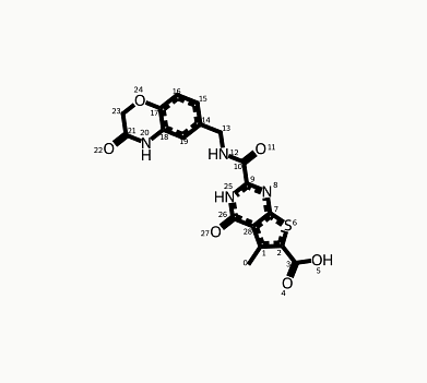 Cc1c(C(=O)O)sc2nc(C(=O)NCc3ccc4c(c3)NC(=O)CO4)[nH]c(=O)c12